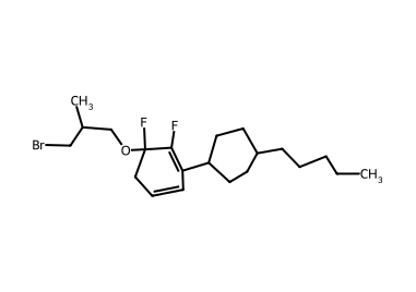 CCCCCC1CCC(C2=C(F)C(F)(OCC(C)CBr)CC=C2)CC1